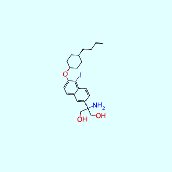 CCCC[C@H]1CC[C@@H](Oc2ccc3cc(C(N)(CO)CO)ccc3c2I)CC1